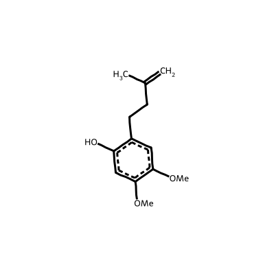 C=C(C)CCc1cc(OC)c(OC)cc1O